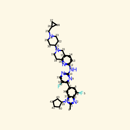 Cc1nc2c(F)cc(-c3nc(Nc4ccc5c(n4)CCN(C4CCN(CC6CC6)CC4)C5)ncc3F)cc2n1C1CCCC1